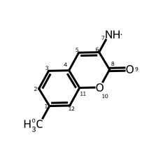 Cc1ccc2cc([NH])c(=O)oc2c1